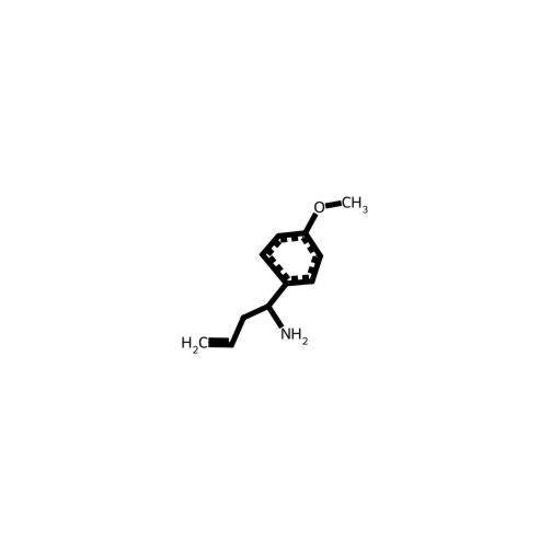 C=CCC(N)c1ccc(OC)cc1